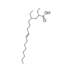 CCCCCCC/C=C/CCCC(CC)CC(CC)C(=O)O